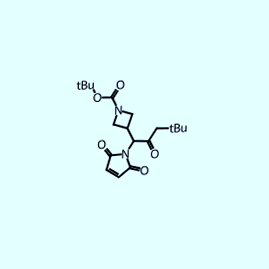 CC(C)(C)CC(=O)C(C1CN(C(=O)OC(C)(C)C)C1)N1C(=O)C=CC1=O